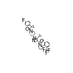 O=C(c1cnn(C2CCN(C(=O)C3(c4ccc(F)cc4)CC3)CC2)c1C1CC1)N1CCCC1c1ccccc1C(F)(F)F